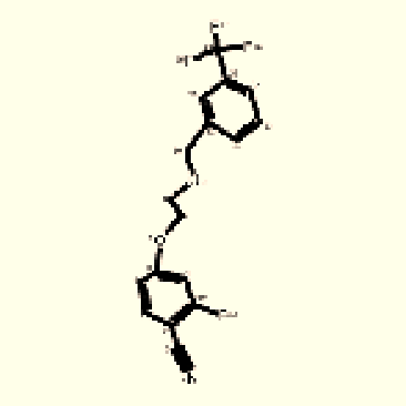 N#Cc1ccc(OCCOCc2cccc(C(F)(F)F)c2)cc1F